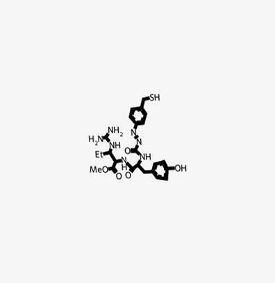 CCC(NC(N)N)C(NC(=O)C(Cc1ccc(O)cc1)NC(=O)/N=N/c1ccc(CS)cc1)C(=O)OC